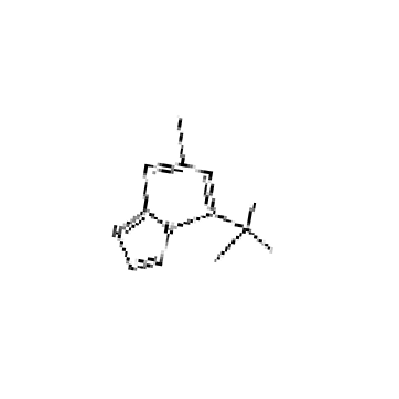 Cc1cc(C(C)(C)C)n2ccnc2c1